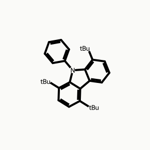 CC(C)(C)c1ccc(C(C)(C)C)c2c1c1cccc(C(C)(C)C)c1n2-c1ccccc1